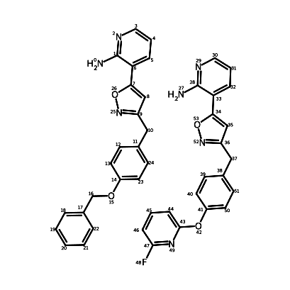 Nc1ncccc1-c1cc(Cc2ccc(OCc3ccccc3)cc2)no1.Nc1ncccc1-c1cc(Cc2ccc(Oc3cccc(F)n3)cc2)no1